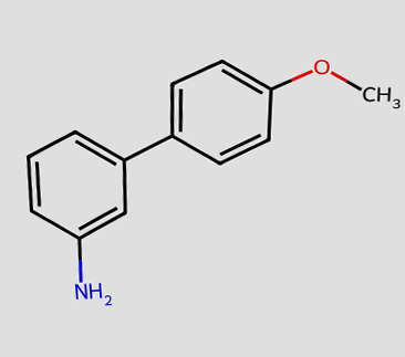 COc1ccc(-c2cccc(N)c2)cc1